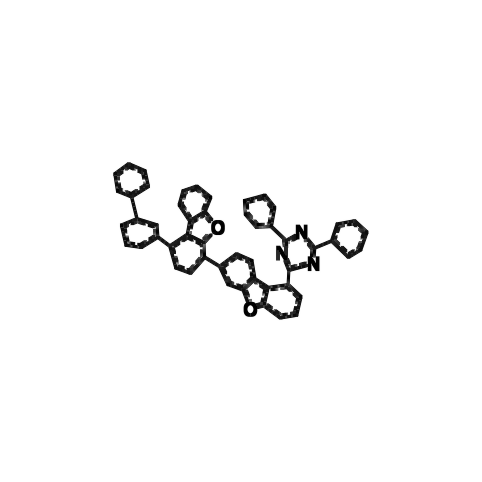 c1ccc(-c2cccc(-c3ccc(-c4ccc5c(c4)oc4cccc(-c6nc(-c7ccccc7)nc(-c7ccccc7)n6)c45)c4oc5ccccc5c34)c2)cc1